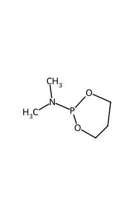 CN(C)P1OCCCO1